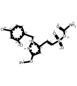 CC(C)Oc1cc(/C=C/S(=O)(=O)OC(N)=O)n(Cc2ccc(Cl)cc2Cl)n1